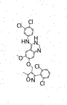 COc1cc2c(cc1OCc1c(-c3c(Cl)cccc3Cl)noc1C)=NCNC=2Nc1ccc(Cl)c(Cl)c1